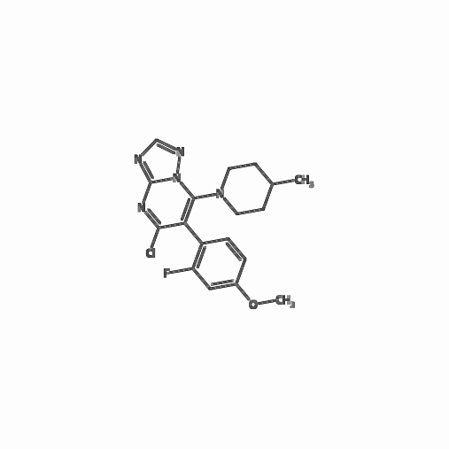 COc1ccc(-c2c(Cl)nc3ncnn3c2N2CCC(C)CC2)c(F)c1